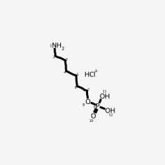 Cl.NCCCCCCOP(=O)(O)O